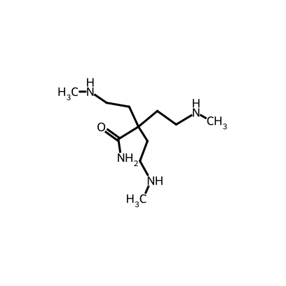 CNCCC(CCNC)(CCNC)C(N)=O